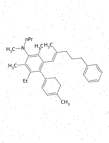 CCCN(C)c1c(C)c(/C=C(\C)CCCc2ccccc2)c(C2=CC=C(C)CC2)c(CC)c1C